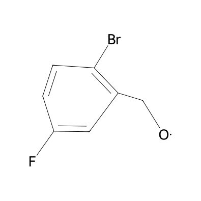 [O]Cc1cc(F)ccc1Br